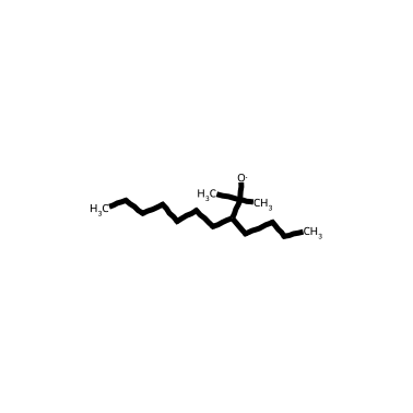 CCCCCCCC(CCCC)C(C)(C)[O]